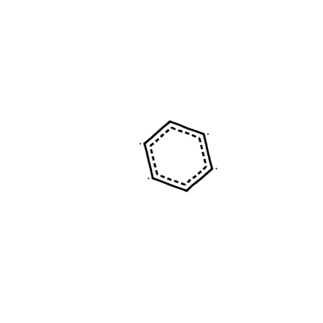 [c]1[c]c[c][c]c1